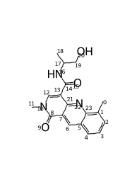 Cc1cccc2cc3c(=O)n(C)cc(C(=O)NC(C)CO)c3nc12